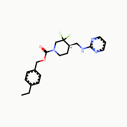 CCc1ccc(COC(=O)N2CC[C@H](CNc3ncccn3)C(F)(F)C2)cc1